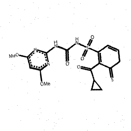 COc1cc(OC)nc(NC(=O)NS(=O)(=O)C2=C(C(=O)C3CC3)C(=S)CC=C2)n1